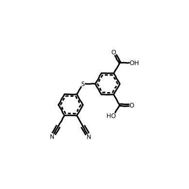 N#Cc1ccc(Sc2cc(C(=O)O)cc(C(=O)O)c2)cc1C#N